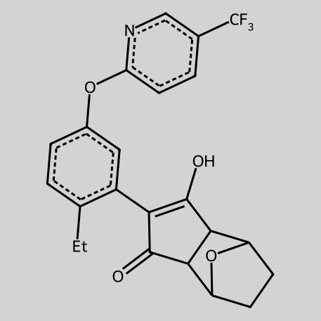 CCc1ccc(Oc2ccc(C(F)(F)F)cn2)cc1C1=C(O)C2C3CCC(O3)C2C1=O